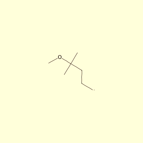 [CH2]CCC(C)(C)OC